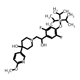 COc1ccc(C2(O)CCN(CC(O)c3cc(F)c(O[Si](C(C)C)(C(C)C)C(C)C)cc3F)CC2)cn1